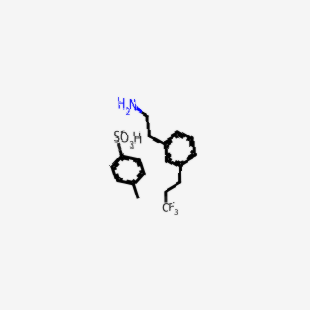 Cc1ccc(S(=O)(=O)O)cc1.NCCc1cccc(CCC(F)(F)F)c1